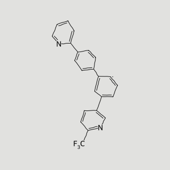 FC(F)(F)c1ccc(-c2cc[c]c(-c3ccc(-c4ccccn4)cc3)c2)cn1